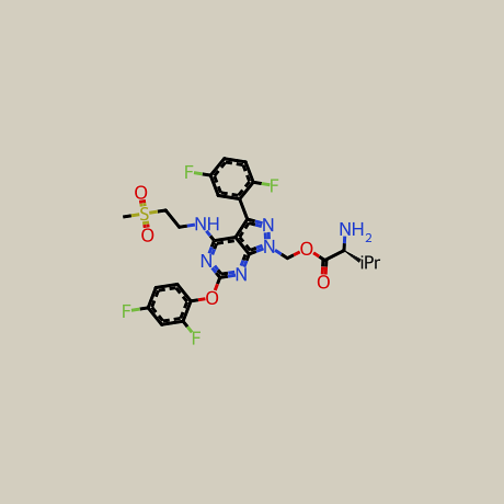 CC(C)[C@H](N)C(=O)OCn1nc(-c2cc(F)ccc2F)c2c(NCCS(C)(=O)=O)nc(Oc3ccc(F)cc3F)nc21